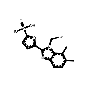 Cc1ccc2nc(-c3ccc(P(=O)(O)O)o3)n(CC(C)C)c2c1C